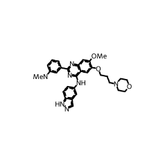 CNc1cccc(-c2nc(Nc3ccc4[nH]ncc4c3)c3cc(OCCCN4CCOCC4)c(OC)cc3n2)c1